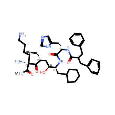 COC(=O)[C@@](N)(CCCCN)C(=O)[C@H](CC(C)C)C[C@H](O)[C@H](CC1CCCCC1)NC(=O)[C@H](Cc1cnc[nH]1)NC(=O)C(Cc1ccccc1)Cc1ccccc1